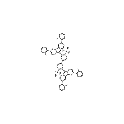 Cc1ccccc1-c1ccc2c(c1)c1cc(-c3ccccc3C)ccc1n2-c1cc(-c2ccc(C(F)(F)F)c(-n3c4ccc(-c5ccccc5C)cc4c4cc(-c5ccccc5C)ccc43)c2)ccc1C(F)(F)F